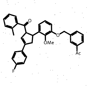 COc1c(OCc2cccc(C(C)=O)c2)cccc1C1CC(c2ccc(F)cc2)=CC1C(=O)c1ccccc1C